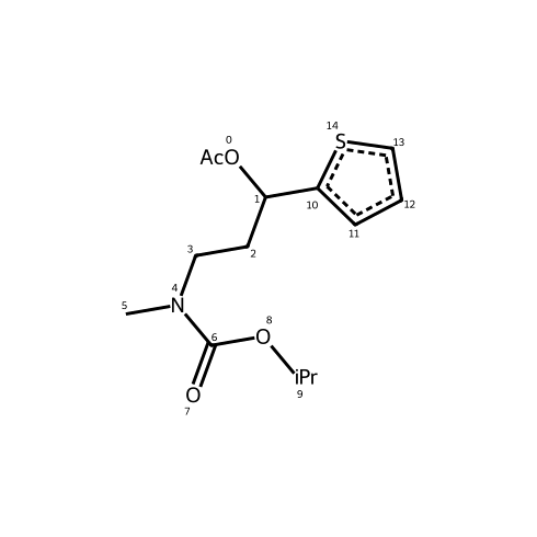 CC(=O)OC(CCN(C)C(=O)OC(C)C)c1cccs1